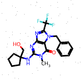 Cn1c(NC2(CO)CCCC2)nc2nc(C(F)(F)F)n(Cc3ccccc3)c2c1=O